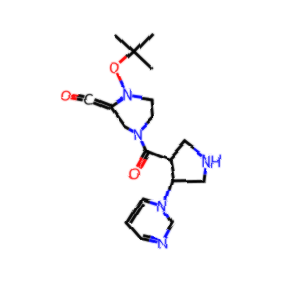 CC(C)(C)ON1CCN(C(=O)C2CNCC2N2C=CC=NC2)CC1=C=O